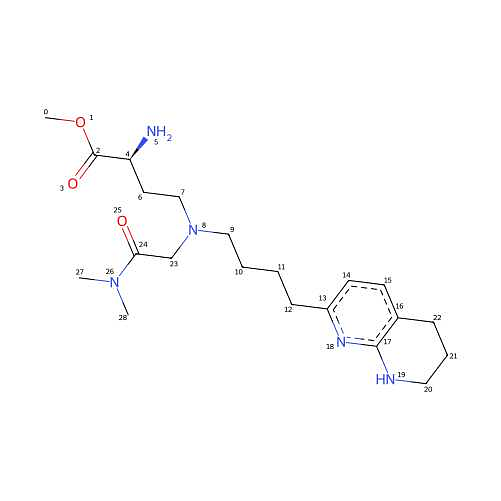 COC(=O)[C@@H](N)CCN(CCCCc1ccc2c(n1)NCCC2)CC(=O)N(C)C